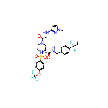 CCC(F)(F)c1ccc(CNC(=O)[C@H]2CN(C(=O)CNc3ccn(C)n3)CCN2S(=O)(=O)c2ccc(OC(F)(F)F)cc2)cc1